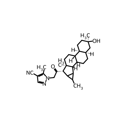 Cc1c(C#N)cnn1CC(=O)[C@H]1C2C(C)C2[C@H]2[C@@H]3CC[C@@H]4C[C@](C)(O)CC[C@@H]4[C@H]3CC[C@]12C